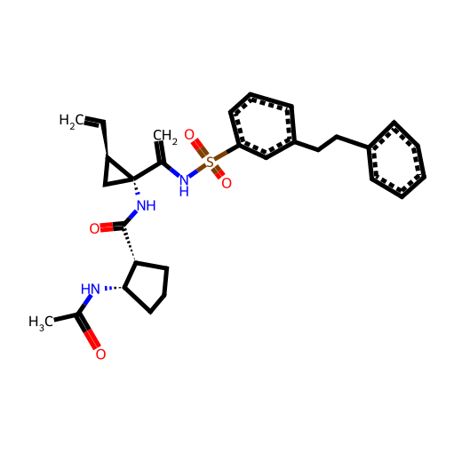 C=C[C@@H]1C[C@]1(NC(=O)[C@@H]1CCC[C@@H]1NC(C)=O)C(=C)NS(=O)(=O)c1cccc(CCc2ccccc2)c1